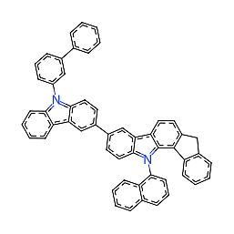 c1ccc(-c2cccc(-n3c4ccccc4c4cc(-c5ccc6c(c5)c5ccc7c(c5n6-c5cccc6ccccc56)-c5ccccc5C7)ccc43)c2)cc1